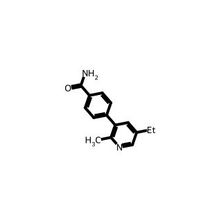 CCc1cnc(C)c(-c2ccc(C(N)=O)cc2)c1